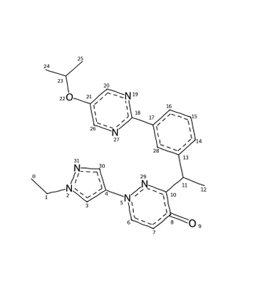 CCn1cc(-n2ccc(=O)c(C(C)c3cccc(-c4ncc(OC(C)C)cn4)c3)n2)cn1